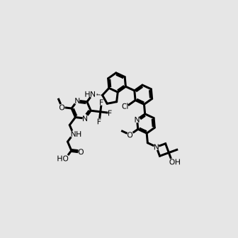 COc1nc(-c2cccc(-c3cccc4c3CC[C@@H]4Nc3nc(OC)c(CNCC(=O)O)nc3C(F)(F)F)c2Cl)ccc1CN1CC(C)(O)C1